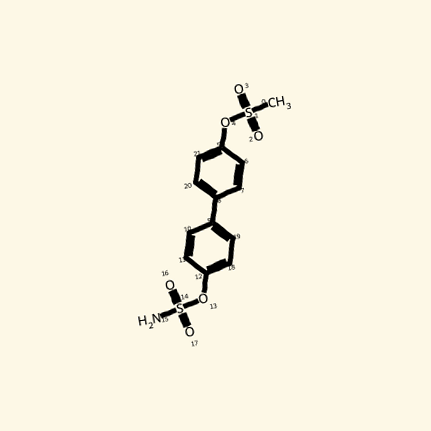 CS(=O)(=O)Oc1ccc(-c2ccc(OS(N)(=O)=O)cc2)cc1